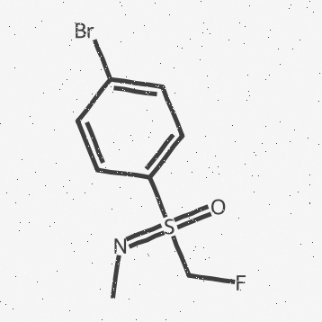 CN=S(=O)(CF)c1ccc(Br)cc1